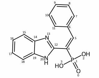 O=P(O)(O)/C(=C/c1ccccc1)c1nc2ccccc2[nH]1